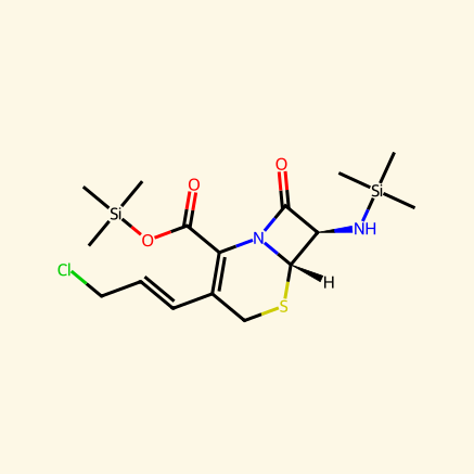 C[Si](C)(C)N[C@@H]1C(=O)N2C(C(=O)O[Si](C)(C)C)=C(C=CCCl)CS[C@@H]12